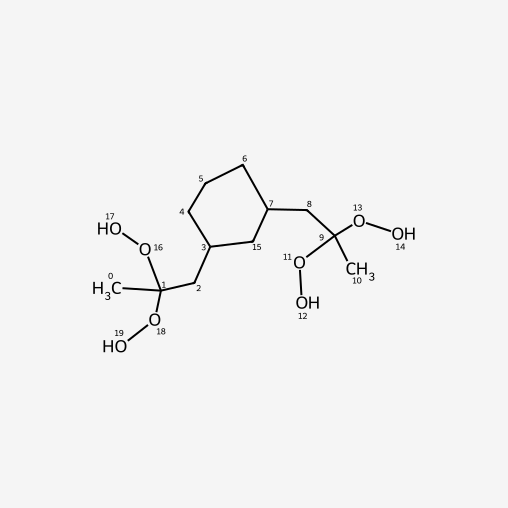 CC(CC1CCCC(CC(C)(OO)OO)C1)(OO)OO